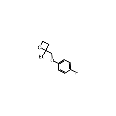 CCC1(COc2ccc(F)cc2)CCO1